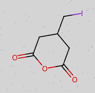 O=C1CC(CI)CC(=O)O1